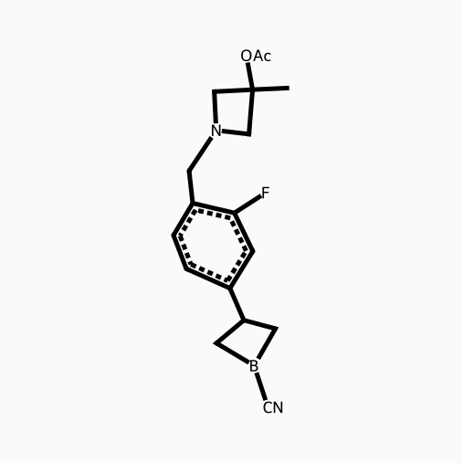 CC(=O)OC1(C)CN(Cc2ccc(C3CB(C#N)C3)cc2F)C1